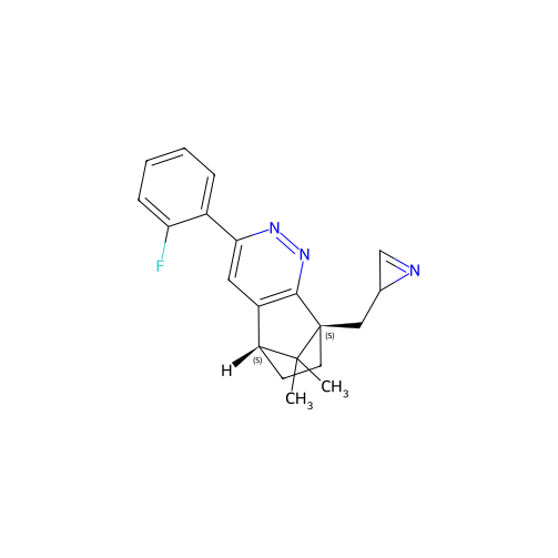 CC1(C)[C@@H]2CC[C@@]1(CC1C=N1)c1nnc(-c3ccccc3F)cc12